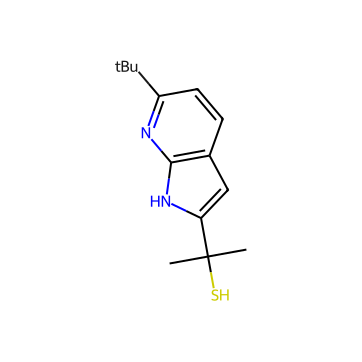 CC(C)(C)c1ccc2cc(C(C)(C)S)[nH]c2n1